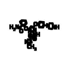 Cn1cc(S(=O)(=O)Nc2nc(Oc3ccc(N4CCNCC4)cc3)cc(Oc3ccccc3C(N)=O)n2)cn1